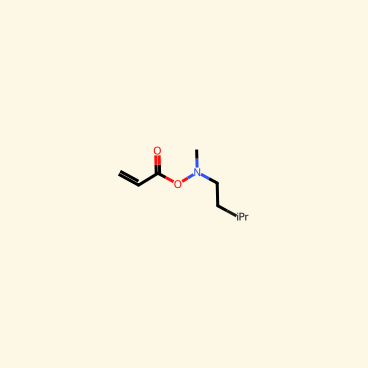 C=CC(=O)ON(C)CCC(C)C